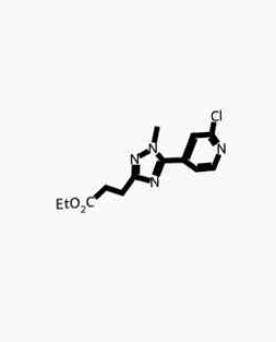 CCOC(=O)CCc1nc(-c2ccnc(Cl)c2)n(C)n1